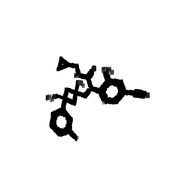 Cc1cc(C#N)cnc1N(C[C@]1(C)C[C@](C)(c2cccc(F)c2)C1)C(=O)NCC1CC1